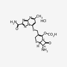 Cc1cc(SCC2=C(OC(=O)O)N3C(=O)[C@@H](N)[C@H]3SC2)n2nc(C(N)=O)nc2n1.Cl